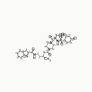 CC(CCNC(=O)c1cc2ccccc2s1)CC(=O)N1CCN(C(=O)[C@@H](CO)NS(=O)(=O)c2ccc(Cl)cc2Cl)CC1